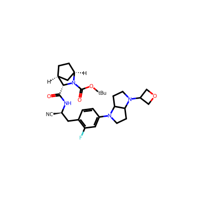 CC(C)(C)OC(=O)N1[C@@H]2CC[C@@H](C2)[C@H]1C(=O)N[C@H](C#N)Cc1ccc(N2CCC3C2CCN3C2COC2)cc1F